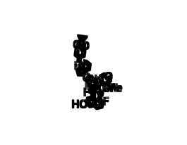 C#Cc1c(F)ccc2cc(O)cc(-c3nc(OC)c4c(N5CCOC[C@@](C)(O)C5)nc(OC[C@]56CCC[C@H]5N(CC5CCN(S(=O)(=O)C7CC7)CC5)CCC6)nc4c3F)c12